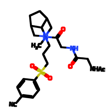 CC(=O)NCC(=O)NCC(=O)N(C)C1C2CCC1CN(CCCS(=O)(=O)c1ccc(C#N)cc1)C2